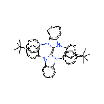 CC(C)c1ccc(N2C(=C3N(c4ccc(C(C)C)cc4)c4ccccc4N3c3ccc(C(C)C)cc3)N(c3ccc(C(C)C)cc3)c3ccccc32)cc1